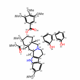 COC(=O)[C@H]1[C@H]2C[C@@H]3c4[nH]c5cc(OC)ccc5c4CCN3C[C@H]2C[C@@H](OC(=O)c2cc(OC)c(OC)c(OC)c2)[C@@H]1OC.Oc1ccccc1.Oc1ccccc1